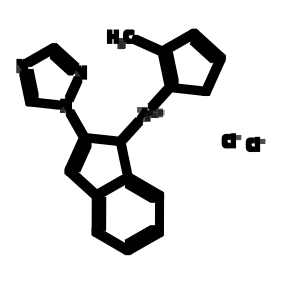 CC1=[C]([Zr+2][CH]2C(n3cncn3)=Cc3ccccc32)CC=C1.[Cl-].[Cl-]